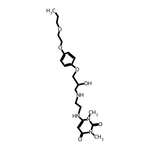 CCCOCCOc1ccc(OCC(O)CNCCNc2cc(=O)n(C)c(=O)n2C)cc1